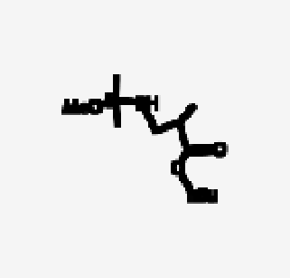 CCCCOC(=O)C(C)CB[Si](C)(C)OC